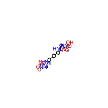 COC(=O)N[C@H](C(=O)N1CCCC1c1nc2cc(-c3ccc(-c4ccc5nc(C6CCCN6C(=O)C(NC(=O)O)C(C)OC)[nH]c5c4)cc3)ccc2[nH]1)[C@@H](C)OC